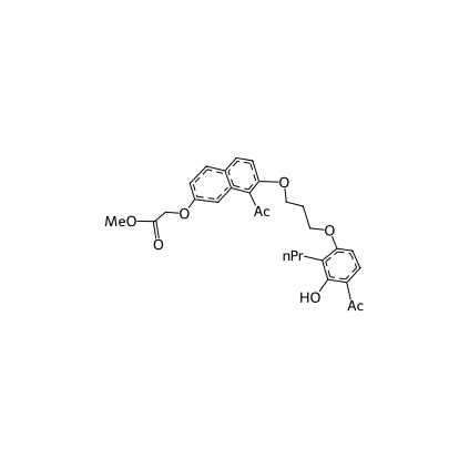 CCCc1c(OCCCOc2ccc3ccc(OCC(=O)OC)cc3c2C(C)=O)ccc(C(C)=O)c1O